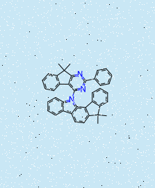 CC1(C)c2ccccc2-c2c1ccc1c3ccccc3n(-c3nc(-c4ccccc4)nc4c3-c3ccccc3C4(C)C)c21